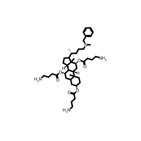 C[C@H](CCCN(C)Cc1ccccc1)C1CC[C@H]2C3[C@H](OC(=O)CCCN)CC4C[C@H](OC(=O)CCCN)CCC4(C)[C@H]3C[C@H](OC(=O)CCCN)C12C